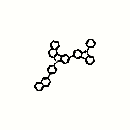 c1ccc(-n2c3ccccc3c3cc(-c4ccc5c(c4)c4c6ccccc6ccc4n5-c4ccc(-c5ccc6ccccc6c5)cc4)ccc32)cc1